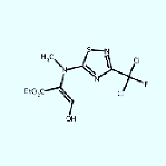 CCOC(=O)C(=CO)N(C)c1nc(C(F)(Cl)Cl)ns1